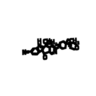 CCC1(N2CCOCC2)CCN(c2cc3c(cn2)C(=O)c2c([nH]c4cc(C#N)ccc24)C3(C)C)CC1